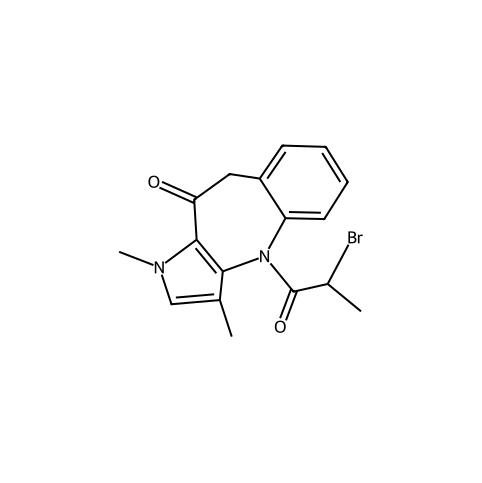 Cc1cn(C)c2c1N(C(=O)C(C)Br)c1ccccc1CC2=O